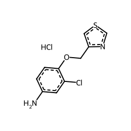 Cl.Nc1ccc(OCc2cscn2)c(Cl)c1